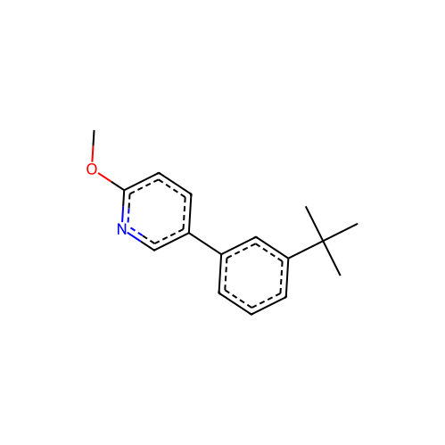 COc1ccc(-c2cccc(C(C)(C)C)c2)cn1